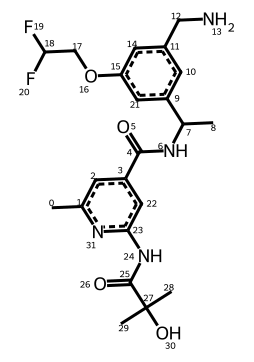 Cc1cc(C(=O)NC(C)c2cc(CN)cc(OCC(F)F)c2)cc(NC(=O)C(C)(C)O)n1